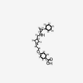 O=C(O)c1ccc(OCCN2CC(CNC3C[C@H]3c3ccccc3)C2)cc1